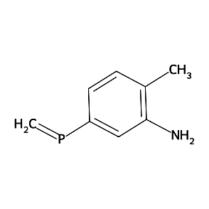 C=Pc1ccc(C)c(N)c1